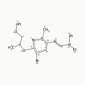 CCCOCC(C)Oc1nc(C)c(N=CN(CC)C(C)C)cc1Br